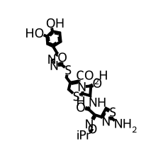 CC(C)O/N=C(/C(=O)N[C@@H]1C(=O)N2C(C(=O)O)=C(CSc3nnc(-c4ccc(O)c(O)c4)o3)CS[C@H]12)c1csc(N)n1